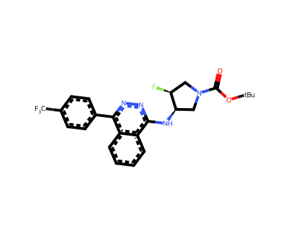 CC(C)(C)OC(=O)N1C[C@H](F)[C@H](Nc2nnc(-c3ccc(C(F)(F)F)cc3)c3ccccc23)C1